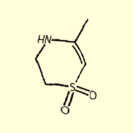 CC1=CS(=O)(=O)CCN1